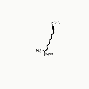 [CH2]CCCCCCCC#CCCCCCCCC(C)CCCCCCCC[CH2]